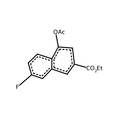 CCOC(=O)c1cc(OC(C)=O)c2ccc(F)cc2c1